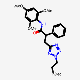 CCCCCCCCCCCCn1nnc(CC(C(=O)Nc2c(OC)cc(OC)cc2OC)c2ccccc2)n1